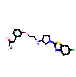 COC(=O)Cc1cccc(OCCNC2CCN(c3nc4ccc(Cl)cc4s3)C2)c1